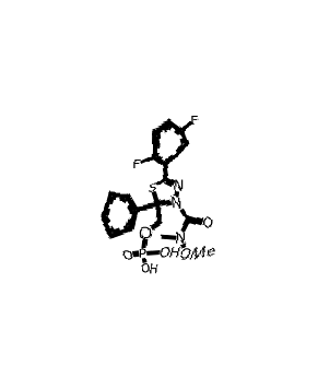 CON(C)C(=O)N1N=C(c2cc(F)ccc2F)SC1(COP(=O)(O)O)c1ccccc1